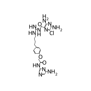 N=C(NCCCCc1ccc(OCC(=O)Nc2cncc(N)n2)cc1)NC(=O)c1nc(Cl)c(N)nc1N